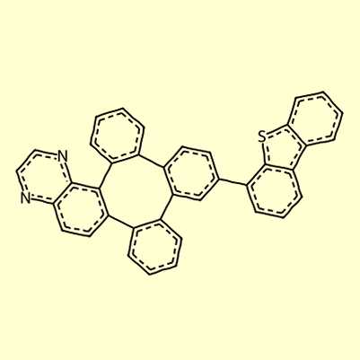 c1ccc2c(c1)-c1cc(-c3cccc4c3sc3ccccc34)ccc1-c1ccccc1-c1c-2ccc2nccnc12